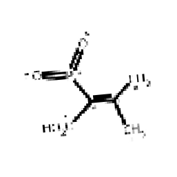 CC(C)=C(C(=O)O)P(=O)=O